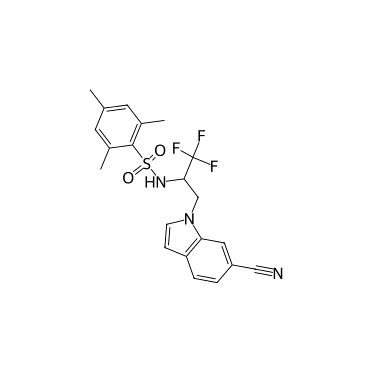 Cc1cc(C)c(S(=O)(=O)NC(Cn2ccc3ccc(C#N)cc32)C(F)(F)F)c(C)c1